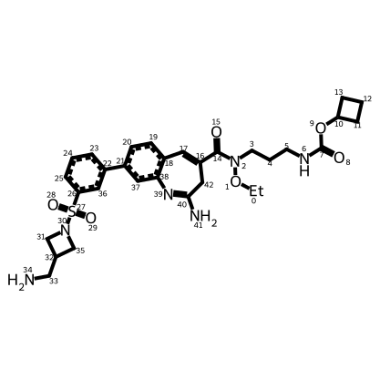 CCON(CCCNC(=O)OC1CCC1)C(=O)C1=Cc2ccc(-c3cccc(S(=O)(=O)N4CC(CN)C4)c3)cc2N=C(N)C1